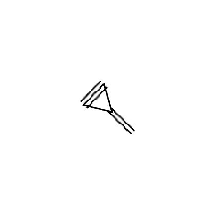 C=C1C#C1